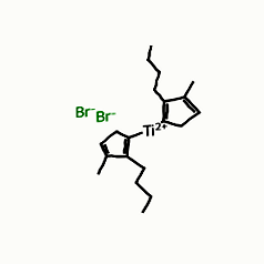 CCCCC1=[C]([Ti+2][C]2=C(CCCC)C(C)=CC2)CC=C1C.[Br-].[Br-]